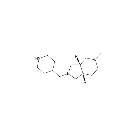 CN1CC[C@@H]2CN(CC3CCNCC3)C[C@@H]2C1